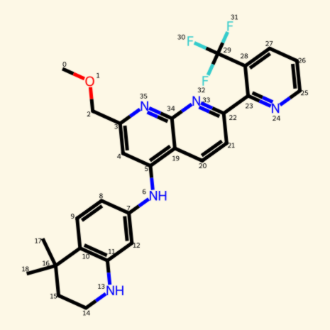 COCc1cc(Nc2ccc3c(c2)NCCC3(C)C)c2ccc(-c3ncccc3C(F)(F)F)nc2n1